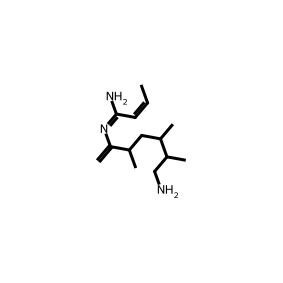 C=C(/N=C(N)\C=C/C)C(C)CC(C)C(C)CN